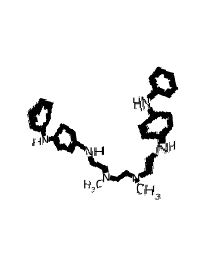 CN(CCNc1ccc(Nc2ccccc2)cc1)CCN(C)CCNc1ccc(Nc2ccccc2)cc1